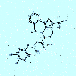 COc1cnccc1-c1nc(C(F)(F)F)n2c1CN(C(=O)C[C@H](N)Cc1cc(F)c(F)cc1F)CC2.Cl